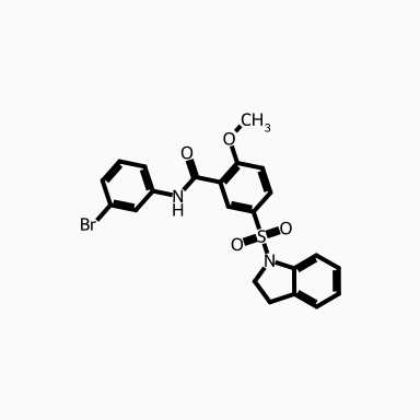 COc1ccc(S(=O)(=O)N2CCc3ccccc32)cc1C(=O)Nc1cccc(Br)c1